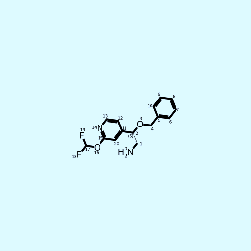 NC[C@@H](OCc1ccccc1)c1ccnc(OC(F)F)c1